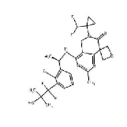 Cc1nc(N[C@H](C)c2cccc(C(F)(F)C(C)(C)O)c2F)c2c(n1)C1(COC1)C(=O)N(C1(C(F)F)CC1)C2